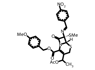 COc1ccc(COC(=O)C2=C(C(C)OC(C)=O)CS[C@@H]3N2C(=O)[C@]3(N=Cc2ccc([N+](=O)[O-])cc2)SC)cc1